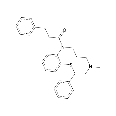 CN(C)CCCN(C(=O)CCc1ccccc1)c1ccccc1SCc1ccccc1